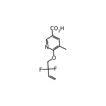 C=CC(F)(F)COc1ncc(C(=O)O)cc1C